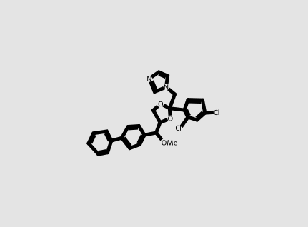 COC(c1ccc(-c2ccccc2)cc1)C1COC(Cn2ccnc2)(c2ccc(Cl)cc2Cl)O1